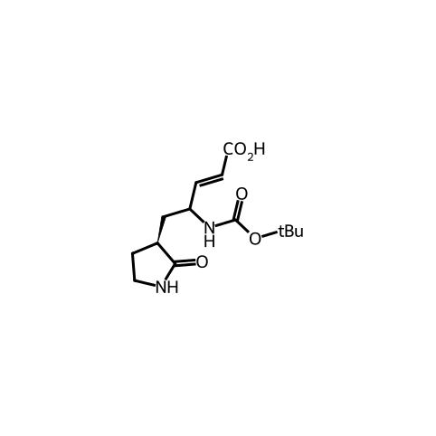 CC(C)(C)OC(=O)NC(C=CC(=O)O)C[C@@H]1CCNC1=O